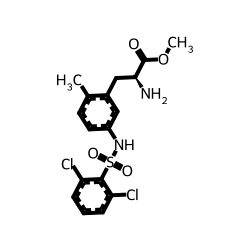 COC(=O)[C@@H](N)Cc1cc(NS(=O)(=O)c2c(Cl)cccc2Cl)ccc1C